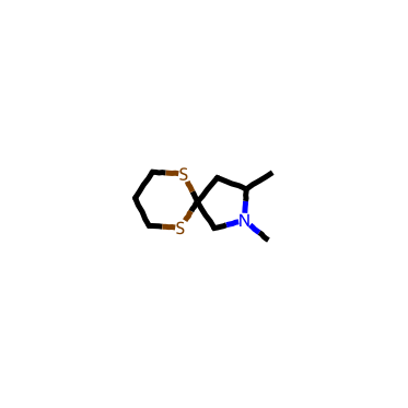 CC1CC2(CN1C)SCCCS2